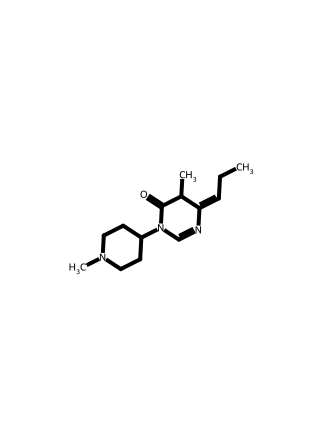 CC/C=C1/N=CN(C2CCN(C)CC2)C(=O)C1C